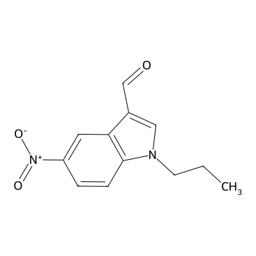 CCCn1cc(C=O)c2cc([N+](=O)[O-])ccc21